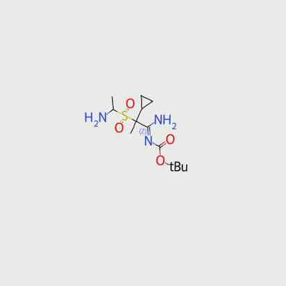 CC(N)S(=O)(=O)C(C)(/C(N)=N/C(=O)OC(C)(C)C)C1CC1